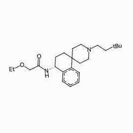 CCOCC(=O)N[C@@H]1CCC2(CCN(CCC(C)(C)C)CC2)c2ccccc21